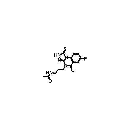 CC(=O)NCCCn1c(=O)c2cc(F)ccc2n2c(=S)[nH]nc12